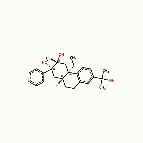 CC[C@@]12C[C@@](C)(O)[C@](O)(c3ccccc3)C[C@H]1CCc1cc(C(C)(C)O)ccc12